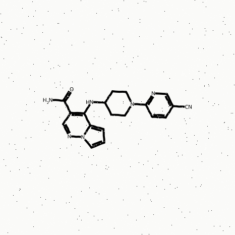 N#Cc1ccc(N2CCC(Nc3c(C(N)=O)cnn4cccc34)CC2)nc1